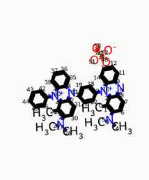 Cc1c(N(C)C)ccc2nc3ccccc3[n+](-c3ccccc3)c12.Cc1c(N(C)C)ccc2nc3ccccc3[n+](-c3ccccc3)c12.O=S(=O)([O-])[O-]